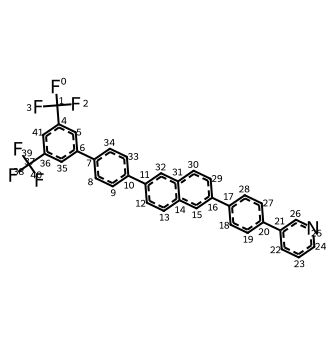 FC(F)(F)c1cc(-c2ccc(-c3ccc4cc(-c5ccc(-c6cccnc6)cc5)ccc4c3)cc2)cc(C(F)(F)F)c1